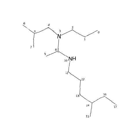 CCCN(CC(C)C)[C](C)NCCCC(C)CC